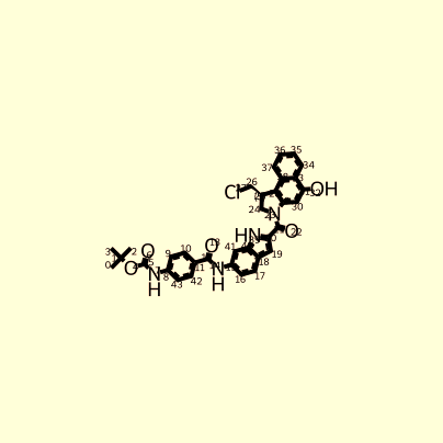 CC(C)(C)OC(=O)Nc1ccc(C(=O)Nc2ccc3cc(C(=O)N4C[C@@H](CCl)c5c4cc(O)c4ccccc54)[nH]c3c2)cc1